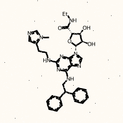 CCNC(=O)[C@H]1O[C@@H](n2cnc3c(NCC(c4ccccc4)c4ccccc4)nc(NCCc4cncn4C)nc32)[C@H](O)[C@@H]1O